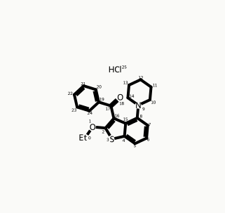 CCOc1sc2cccc(N3CCCCC3)c2c1C(=O)c1ccccc1.Cl